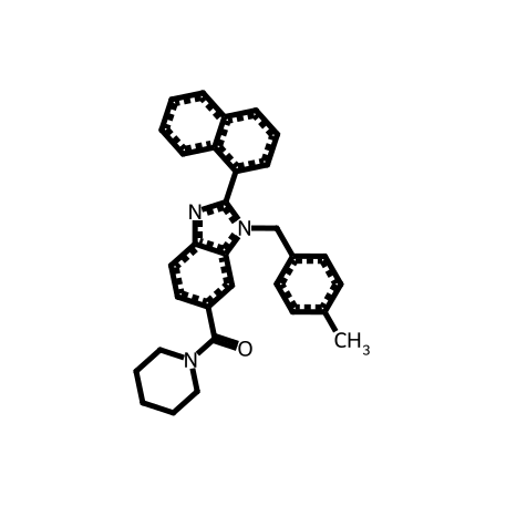 Cc1ccc(Cn2c(-c3cccc4ccccc34)nc3ccc(C(=O)N4CCCCC4)cc32)cc1